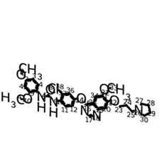 COc1ccc(NC(=O)Nc2ccc(Oc3ncnc4cc(OCCCN5CCCC5)c(OC)cc34)cc2Cl)c(OC)c1